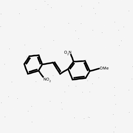 COc1ccc(C=Cc2ccccc2[N+](=O)[O-])c([N+](=O)[O-])c1